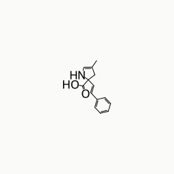 CC1=CNC(C=Cc2ccccc2)(C(=O)O)C1